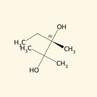 CC[C@](C)(O)C(C)(C)O